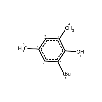 Cc1[c]c(C)c(O)c(C(C)(C)C)c1